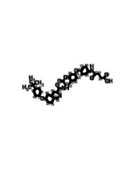 CC(C)(C)c1ccc(Oc2ccc3cnc(C(=O)N[C@@H](Cc4ccc(Oc5ccc(NC(=O)CCC(=O)O)cc5)cc4)C(=O)O)cc3c2)cc1